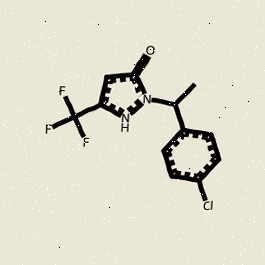 CC(c1ccc(Cl)cc1)n1[nH]c(C(F)(F)F)cc1=O